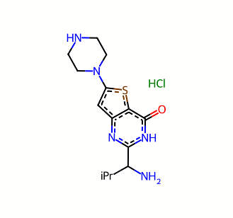 CC(C)C(N)c1nc2cc(N3CCNCC3)sc2c(=O)[nH]1.Cl